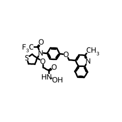 Cc1cc(COc2ccc(N(C(=O)C(F)(F)F)C3(OCC(=O)NO)CCSC3)cc2)c2ccccc2n1